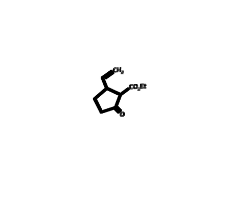 C=CC1CCC(=O)C1C(=O)OCC